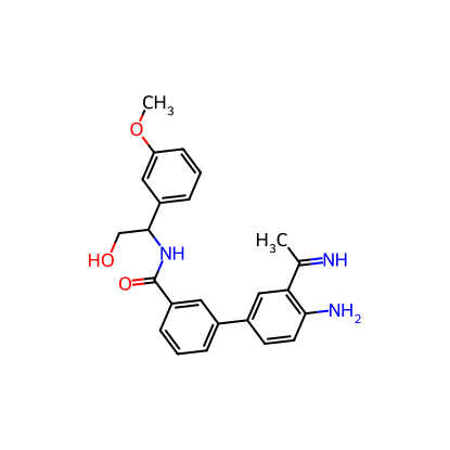 COc1cccc(C(CO)NC(=O)c2cccc(-c3ccc(N)c(C(C)=N)c3)c2)c1